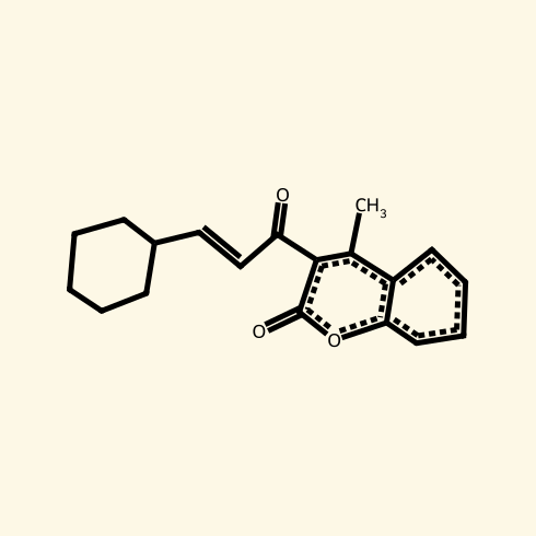 Cc1c(C(=O)/C=C/C2CCCCC2)c(=O)oc2ccccc12